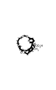 C[C@@H](C(=O)O)[C@@H]1c2ccc(nc2)OCCCCCc2ccc(cc2)C(=O)N2CCc3ccc1cc3C2